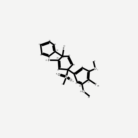 COc1cc(C2(S(C)(=O)=O)C=CC(F)(c3ccccc3)C(F)=C2)cc(OC)c1F